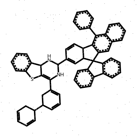 C1=CCC(C2C=CC=C(C3=C4Sc5ccccc5C4NC(C4=CC5C(C=C4)c4c(cc6ccccc6c4-c4ccccc4)C54c5ccccc5-c5ccccc54)N3)C2)C=C1